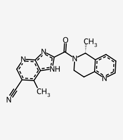 Cc1c(C#N)cnc2nc(C(=O)N3CCc4ncccc4[C@H]3C)[nH]c12